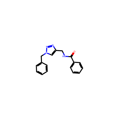 O=C(NCc1cn(Cc2ccccc2)nn1)c1ccccc1